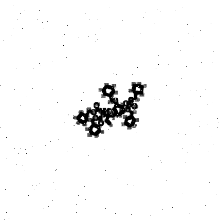 C=CC(Cc1ccc(OP(=O)(OCc2ccccc2)OCc2ccccc2)c(OCc2ccccc2)c1)(C(=O)O)N(NC(=O)OCc1ccccc1)C(=O)OCc1ccccc1